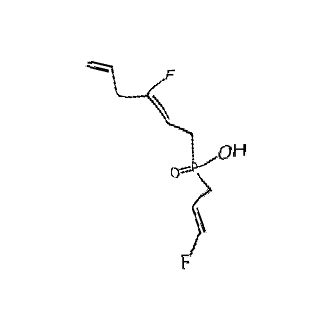 C=CCC(F)=CCP(=O)(O)CC=CF